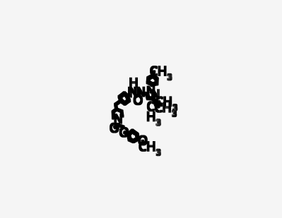 COc1ccc(OCC(=O)N2CCC(Cc3ccc(NC(=O)Nc4cc(C(C)(C)C)nn4-c4ccc(C)cc4)cc3)CC2)cc1